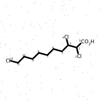 O=C(O)C(Cl)C(Cl)CCCCCCCCl